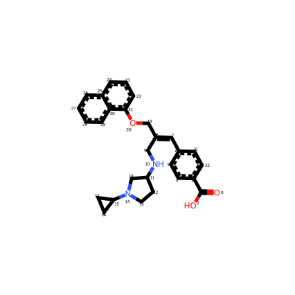 O=C(O)c1ccc(C=C(CNC2CCN(C3CC3)C2)COc2cccc3ccccc23)cc1